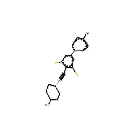 CCCc1ccc(-c2cc(F)c(C#C[C@H]3CC[C@H](CC)CC3)c(F)c2)cc1